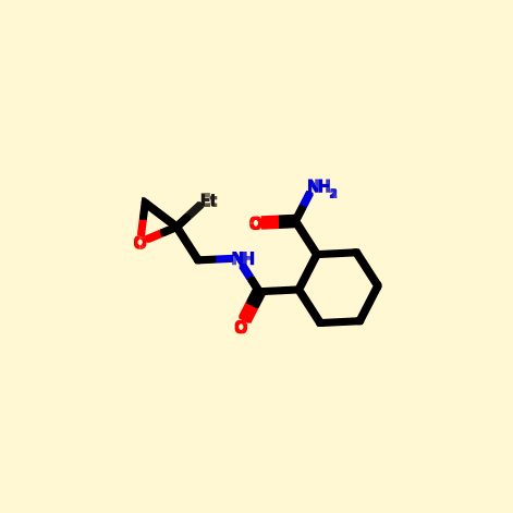 CCC1(CNC(=O)C2CCCCC2C(N)=O)CO1